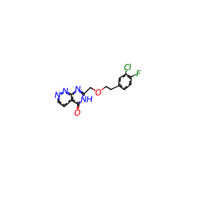 O=c1[nH]c(COCCc2ccc(F)c(Cl)c2)nc2nnccc12